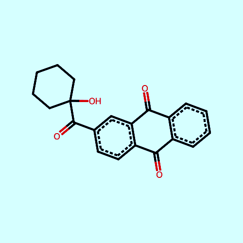 O=C1c2ccccc2C(=O)c2cc(C(=O)C3(O)CCCCC3)ccc21